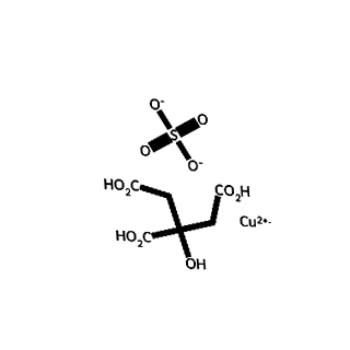 O=C(O)CC(O)(CC(=O)O)C(=O)O.O=S(=O)([O-])[O-].[Cu+2]